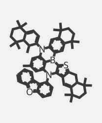 Cc1cc2c3c(c1)N(c1cccc4oc5c#cccc5c14)c1c(sc4c1C=C1C(C4)C(C)(C)CCC1(C)C)B3c1cc3c(cc1N2C1=CC=C2C(C1C)C(C)(C)CCC2(C)C)C(C)(C)CCC3(C)C